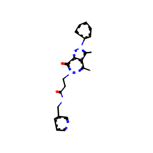 Cc1nn(CCC(=O)NCc2cccnc2)c(=O)c2nn(-c3ccccc3)c(C)c12